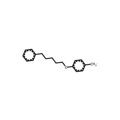 [CH2]c1ccc(OCCCCCc2ccccc2)cc1